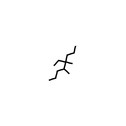 [CH2]CCC(C)(CC)C(C)CCC